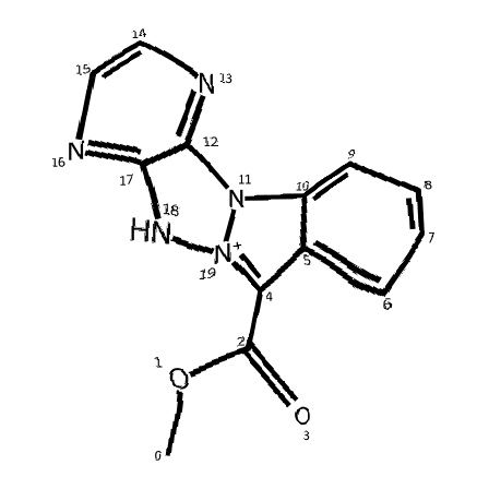 COC(=O)c1c2ccccc2n2c3nccnc3[nH][n+]12